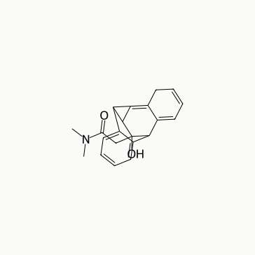 CN(C)C(=O)CC1(O)C2C3=CC=CCC3=C3C(c4ccccc42)C31